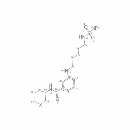 CC(C)S(=O)(=O)NCCCCCNc1cccc(C(=O)NC2CCCCC2)c1